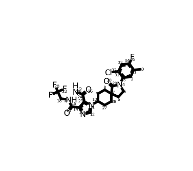 Cc1cc(N2CCC3(CCC(n4cnc(C(=O)NCC(F)(F)F)c4C(N)=O)CC3)C2=O)c(Cl)cc1F